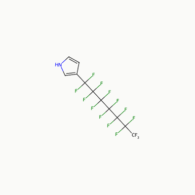 FC(F)(F)C(F)(F)C(F)(F)C(F)(F)C(F)(F)C(F)(F)C(F)(F)c1cc[nH]c1